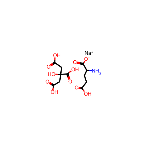 NC(CCC(=O)O)C(=O)[O-].O=C(O)CC(O)(CC(=O)O)C(=O)O.[Na+]